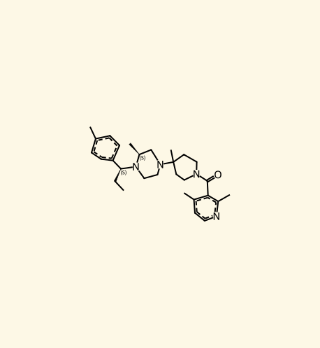 CC[C@@H](c1ccc(C)cc1)N1CCN(C2(C)CCN(C(=O)c3c(C)ccnc3C)CC2)C[C@@H]1C